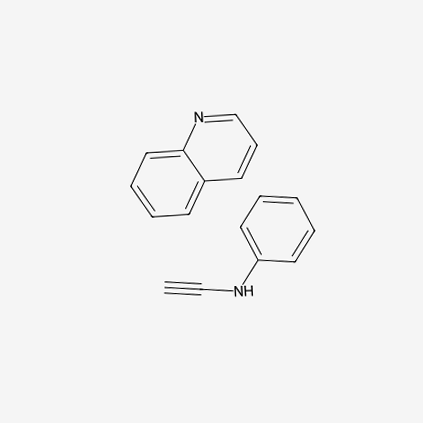 C#CNc1ccccc1.c1ccc2ncccc2c1